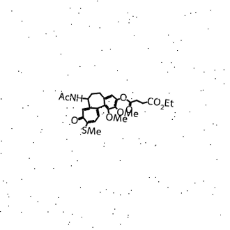 CCOC(=O)CCC(=O)Oc1cc2c(c(OC)c1OC)-c1ccc(SC)c(=O)cc1C(NC(C)=O)CC2